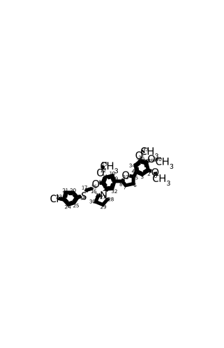 COc1cc(C2CCC(c3cc(OC)c(OCCSc4ccc(Cl)cc4)c(N4CCCC4)c3)O2)cc(OC)c1OC